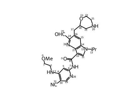 COCCNc1cc(NC(=O)c2cn(C(C)C)c3cc(CC4CNCCO4)c(C=O)nc23)ncc1C#N